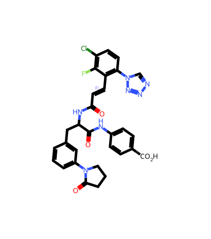 O=C(/C=C/c1c(-n2cnnn2)ccc(Cl)c1F)NC(Cc1cccc(N2CCCC2=O)c1)C(=O)Nc1ccc(C(=O)O)cc1